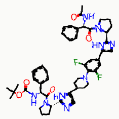 CC(=O)N[C@@H](C(=O)N1CCC[C@H]1c1ncc(-c2cc(F)c(N3CCC(c4cnc([C@@H]5CCCN5C(=O)[C@H](NC(=O)OC(C)(C)C)c5ccccc5)[nH]4)CC3)c(F)c2)[nH]1)c1ccccc1